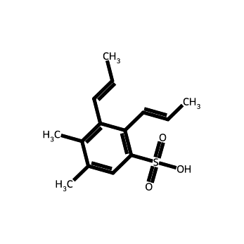 CC=Cc1c(S(=O)(=O)O)cc(C)c(C)c1C=CC